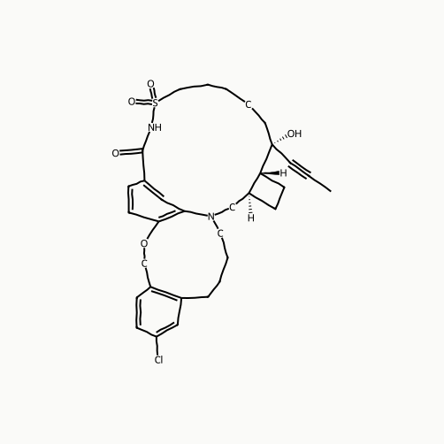 CC#C[C@]1(O)CCCCCS(=O)(=O)NC(=O)c2ccc3c(c2)N(CCCCc2cc(Cl)ccc2CO3)C[C@@H]2CC[C@H]21